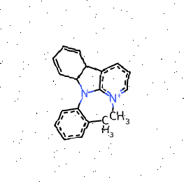 Cc1ccccc1N1c2c(ccc[n+]2C)C2C=CC=CC21